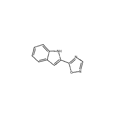 c1ccc2[nH]c(-c3ncno3)cc2c1